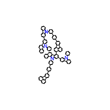 c1ccc(-n2c3ccccc3c3ccc(-c4cc(-c5ccc6c7c(cccc57)-c5ccc(-c7ccc(-c8cccc(-n9c%10ccccc%10c%10ccc(-c%11ccc%12c(c%11)c%11ccc%13ccccc%13c%11n%12-c%11ccccc%11)cc%109)c8)cc7)cc5-6)c5c6ccc7ccccc7c6n(-c6ccc(-c7ccc(-c8ccc9c(c8)-c8cccc%10cccc-9c8%10)cc7)cc6)c5c4)cc32)cc1